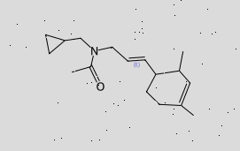 CC(=O)N(C/C=C/C1CCC(C)=CC1C)CC1CC1